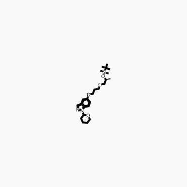 C[C@@H](COCCCOc1ccc2c(cnn2C2CCCCO2)c1)O[Si](C)(C)C(C)(C)C